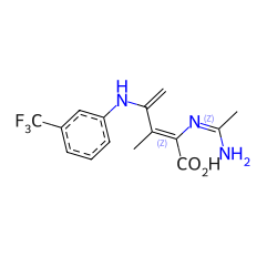 C=C(Nc1cccc(C(F)(F)F)c1)/C(C)=C(\N=C(\C)N)C(=O)O